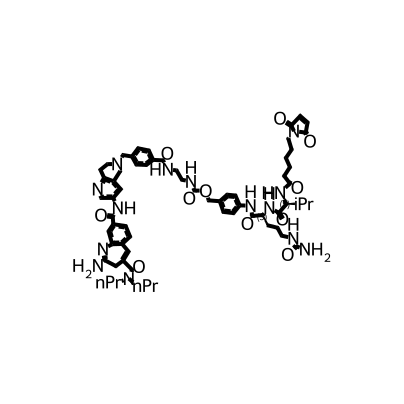 CCCN(CCC)C(=O)C1=Cc2ccc(C(=O)Nc3cnc4c(c3)CN(Cc3ccc(C(=O)NCCNC(=O)OCc5ccc(NC(=O)[C@H](CCCNC(N)=O)NC(=O)[C@@H](NC(=O)CCCCCN6C(=O)C=CC6=O)C(C)C)cc5)cc3)CC4)cc2N=C(N)C1